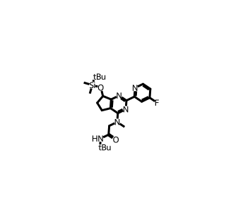 CN(CC(=O)NC(C)(C)C)c1nc(-c2cc(F)ccn2)nc2c1CCC2O[Si](C)(C)C(C)(C)C